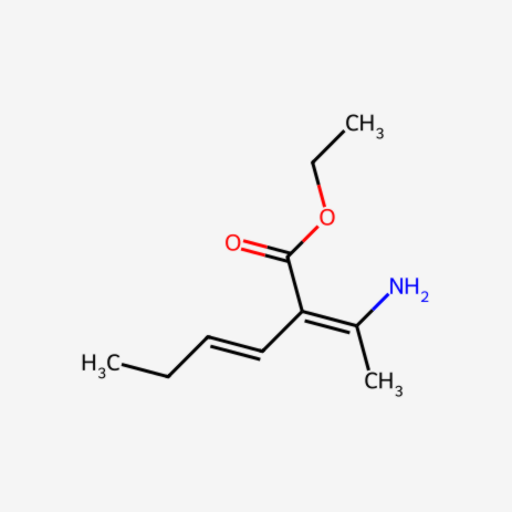 CC/C=C/C(C(=O)OCC)=C(\C)N